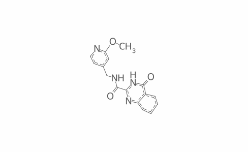 COc1cc(CNC(=O)c2nc3ccccc3c(=O)[nH]2)ccn1